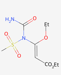 CCOC(=O)C=C(OCC)N(C(N)=O)S(C)(=O)=O